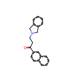 O=C(CCN1Cc2ccccc2C1)c1ccc2ccccc2c1